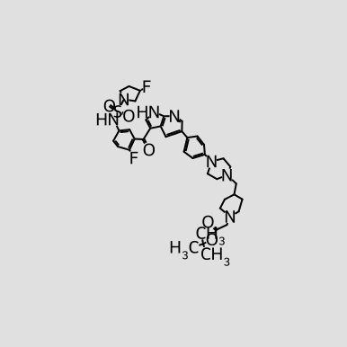 CC(C)(C)OC(=O)CN1CCC(CN2CCN(c3ccc(-c4cnc5[nH]cc(C(=O)c6cc(NS(=O)(=O)N7CC[C@@H](F)C7)ccc6F)c5c4)cc3)CC2)CC1